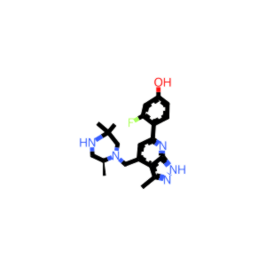 Cc1n[nH]c2nc(-c3ccc(O)cc3F)cc(CN3CC(C)(C)NC[C@@H]3C)c12